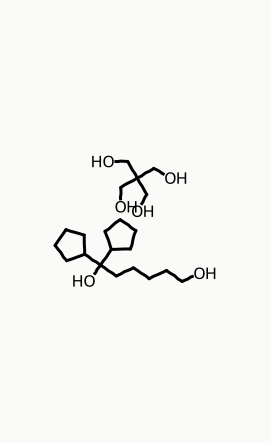 OCC(CO)(CO)CO.OCCCCCC(O)(C1CCCC1)C1CCCC1